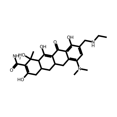 CCNCc1cc(N(C)C)c2c(c1O)C(=O)C1=C(O)C3C(CC(O)=C(C(N)=O)C3(C)O)CC1C2